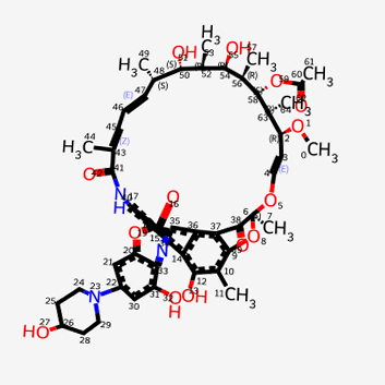 CO[C@H]1/C=C/O[C@@]2(C)Oc3c(C)c(O)c4c(=O)c(c5oc6cc(N7CCC(O)CC7)cc(O)c6nc-5c4c3C2=O)NC(=O)/C(C)=C\C=C\[C@H](C)[C@H](O)[C@@H](C)[C@@H](O)[C@@H](C)[C@H](OC(C)=O)[C@@H]1C